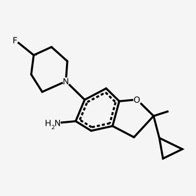 CC1(C2CC2)Cc2cc(N)c(N3CC[C](F)CC3)cc2O1